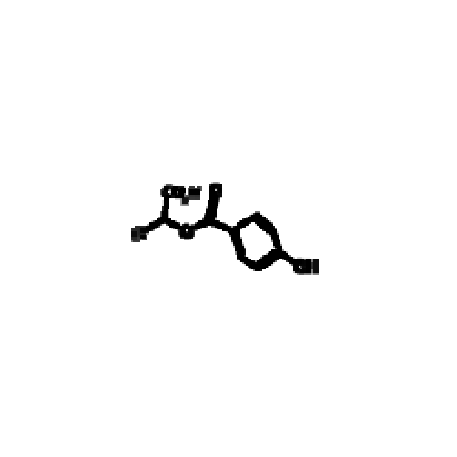 CCC(OC(=O)c1ccc(O)cc1)C(=O)O